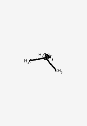 CCCCCCCCCCCCCCCCC[CH2][Sn+]([CH3])[CH2]CCCCCCCCCCCCCCCCC.Cc1ccc(S(=O)(=O)[O-])cc1